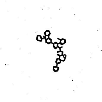 Cc1ccccc1-c1cc(-c2ccc3c(c2)c2ccccc2n3-c2ccccc2)ccc1C(C)c1ccc2c(c1)OCCc1cc(-c3ccccc3)ccc1-2